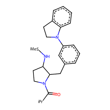 CSNC1CCN(C(=O)C(C)C)C1Cc1cccc(N2CCc3ccccc32)c1